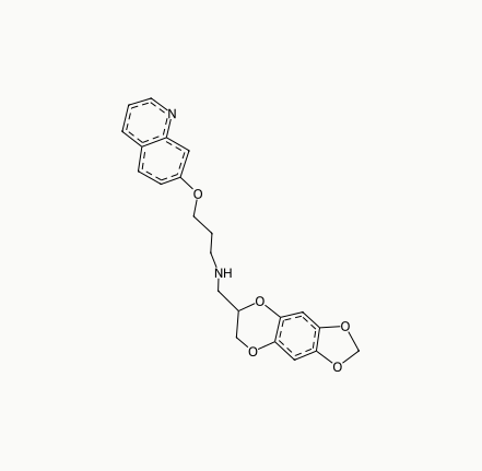 c1cnc2cc(OCCCNCC3COc4cc5c(cc4O3)OCO5)ccc2c1